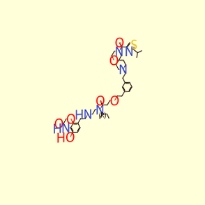 CC[C@@H](C)N(CCNCCc1ccc(O)c2c1OCC(=O)N2)C(=O)CCOCCc1cccc(CCN2CCC3(CC2)CN(C(=O)c2csc(C(C)C)n2)CCO3)c1